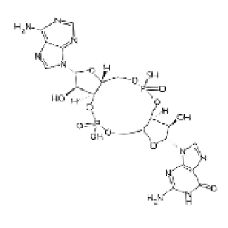 Nc1nc2c(ncn2[C@@H]2OC3COP(=O)(O)O[C@H]4[C@@H](O)[C@H](n5cnc6c(N)ncnc65)O[C@@H]4COP(=O)(S)O[C@H]3[C@H]2O)c(=O)[nH]1